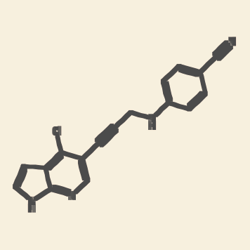 N#Cc1ccc(NCC#Cc2cnc3[nH]ccc3c2Cl)cc1